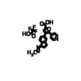 CON=C1CCc2cc(-c3cc(C(=O)O)oc3-c3ccncc3)ccc21.O=C(O)C(F)(F)F